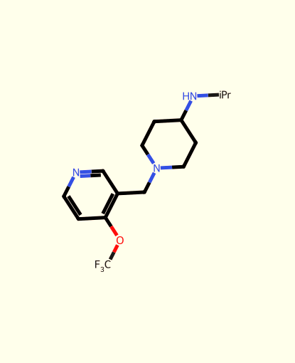 CC(C)NC1CCN(Cc2cnccc2OC(F)(F)F)CC1